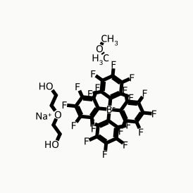 COC.Fc1c(F)c(F)c([B-](c2c(F)c(F)c(F)c(F)c2F)(c2c(F)c(F)c(F)c(F)c2F)c2c(F)c(F)c(F)c(F)c2F)c(F)c1F.OCCOCCO.[Na+]